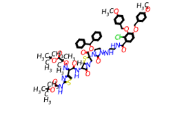 COc1ccc(COc2ccc(C(=O)NCCNN3CCN([C@]4(C(=O)OC(c5ccccc5)c5ccccc5)CN5C(=O)[C@@H](NC(=O)/C(=N\OC(C)(C)C(=O)OC(C)(C)C)c6csc(NC(=O)OC(C)(C)C)n6)[C@H]5S4)C3=O)c(Cl)c2OCc2ccc(OC)cc2)cc1